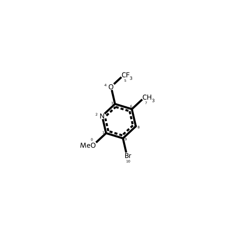 COc1nc(OC(F)(F)F)c(C)cc1Br